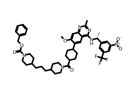 COc1cc2nc(C)nc(N[C@H](C)c3cc([N+](=O)[O-])cc(C(F)(F)F)c3)c2cc1C1CCC(C(=O)N2CCC(CCCC3CCN(C(=O)OCc4ccccc4)CC3)CC2)CC1